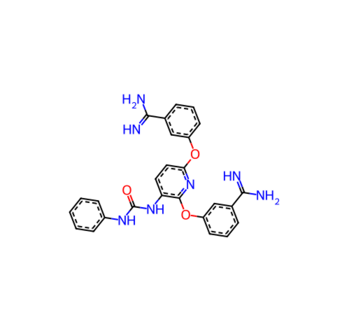 N=C(N)c1cccc(Oc2ccc(NC(=O)Nc3ccccc3)c(Oc3cccc(C(=N)N)c3)n2)c1